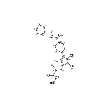 CC(C)(C)OC(=O)N1CCn2c(c(C#N)c(C#N)c2C2CCN(C(=O)OCc3ccccc3)CC2)C1